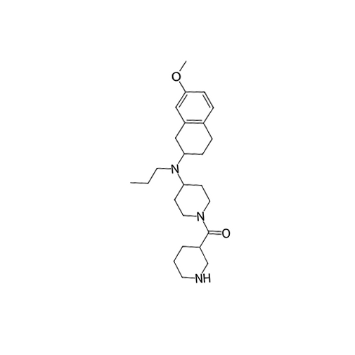 CCCN(C1CCN(C(=O)C2CCCNC2)CC1)C1CCc2ccc(OC)cc2C1